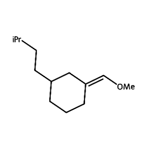 COC=C1CCCC(CCC(C)C)C1